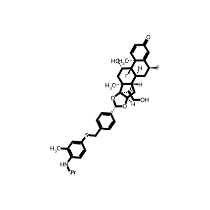 Cc1cc(SCc2ccc([C@H]3O[C@@H]4C[C@H]5[C@@H]6C[C@H](F)C7=CC(=O)C=C[C@]7(C)[C@@]6(F)[C@@H](O)C[C@]5(C)[C@]4(C(=O)CO)O3)cc2)ccc1NC(C)C